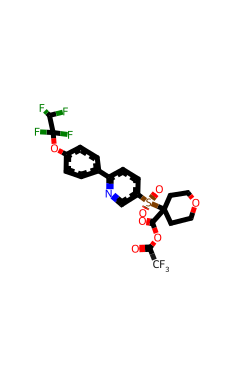 O=C(OC(=O)C1(S(=O)(=O)c2ccc(-c3ccc(OC(F)(F)C(F)F)cc3)nc2)CCOCC1)C(F)(F)F